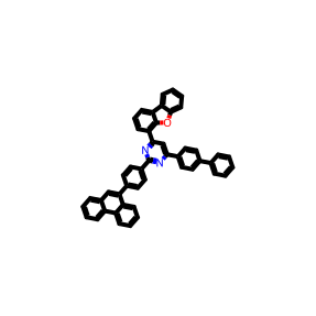 c1ccc(-c2ccc(-c3cc(-c4cccc5c4oc4ccccc45)nc(-c4ccc(-c5cc6ccccc6c6ccccc56)cc4)n3)cc2)cc1